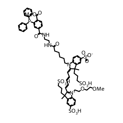 COCCOCC[N+]1=C(/C=C/C=C/C=C2/N(CCCCCC(=O)NCCNC(=O)c3ccc(C(=O)OC)c(P(c4ccccc4)c4ccccc4)c3)c3ccc(S(=O)(=O)[O-])cc3C2(C)CCCS(=O)(=O)O)C(C)(CCCS(=O)(=O)O)c2cc(S(=O)(=O)O)ccc21